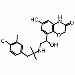 Cc1cc(CC(C)(C)NC[C@H](O)c2cc(O)cc3c2OCC(=O)N3)ccc1Cl